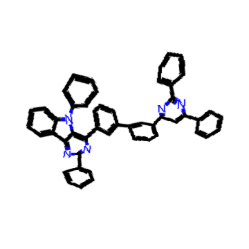 c1ccc(-c2cc(-c3cccc(-c4cccc(-c5nc(-c6ccccc6)nc6c7ccccc7n(-c7ccccc7)c56)c4)c3)nc(-c3ccccc3)n2)cc1